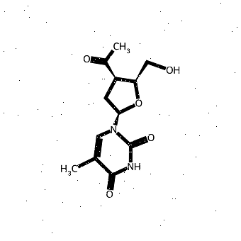 CC(=O)[C@@H]1C[C@H](n2cc(C)c(=O)[nH]c2=O)O[C@@H]1CO